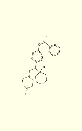 C[C@@H](Oc1ccc(C(CN2CCN(C)CC2)C2(O)CCCCC2)cc1)c1ccccc1